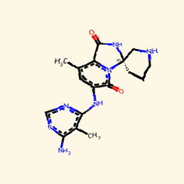 Cc1cc(Nc2ncnc(N)c2C)c(=O)n2c1C(=O)N[C@]21CCCNC1